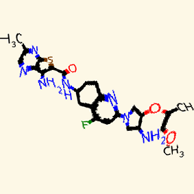 COCC(C)OC1CN(c2cc(F)c3c(n2)CCC(NC(=O)c2sc4nc(C)cnc4c2N)C3)CC1N